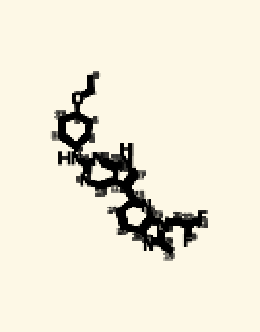 CCO[C@H]1CC[C@@H](Nc2ncc3c(-c4ccc5nc(C)n(CC(F)F)c5n4)c[nH]c3n2)CC1